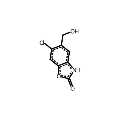 O=c1[nH]c2cc(CO)c(Cl)cc2o1